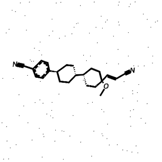 CO[C@]1(C=CC#N)CC[C@H]([C@H]2CC[C@H](c3ccc(C#N)cc3)CC2)CC1